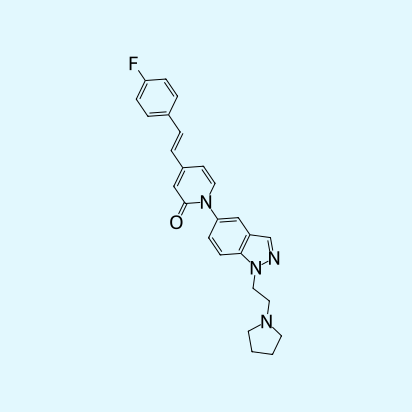 O=c1cc(C=Cc2ccc(F)cc2)ccn1-c1ccc2c(cnn2CCN2CCCC2)c1